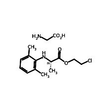 Cc1cccc(C)c1N[C@@H](C)C(=O)OCCCl.NCC(=O)O